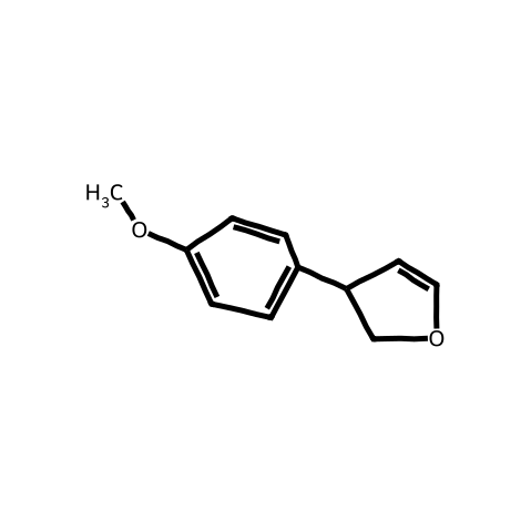 COc1ccc(C2C=COC2)cc1